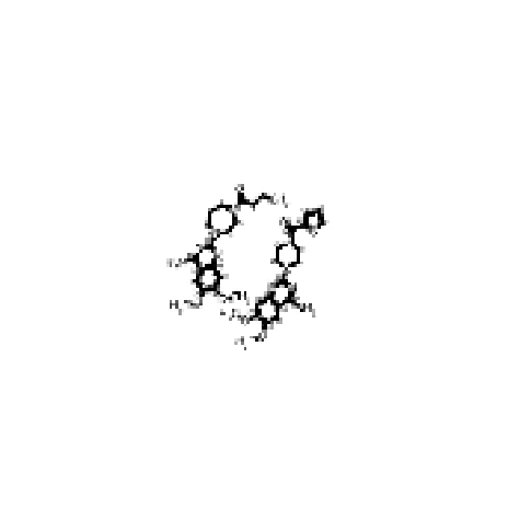 CCCC(=O)N1CCCN(c2nc(N)c3cc(OC)c(OC)cc3n2)CC1.COc1cc2nc(N3CCN(C(=O)c4ccco4)CC3)nc(N)c2cc1OC